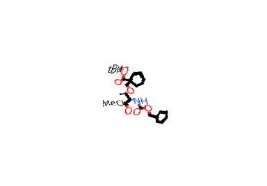 COC(=O)[C@@H](NC(=O)OCc1ccccc1)[C@@H](C)OCC1(C(=O)OC(C)(C)C)CCCCC1